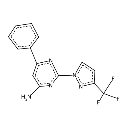 Nc1cc(-c2ccccc2)nc(-n2ccc(C(F)(F)F)n2)n1